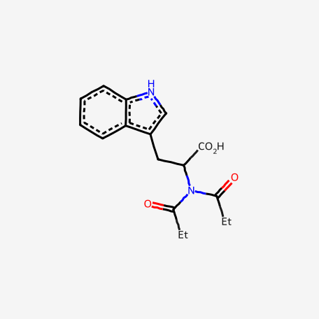 CCC(=O)N(C(=O)CC)C(Cc1c[nH]c2ccccc12)C(=O)O